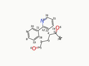 O=CCCC[C](=O)[Ir].c1ccc(-c2ccccn2)cc1